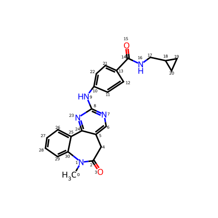 CN1C(=O)Cc2cnc(Nc3ccc(C(=O)NCC4CC4)cc3)nc2-c2ccccc21